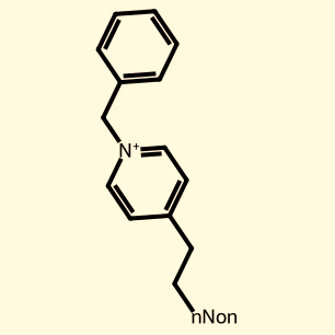 CCCCCCCCCCCc1cc[n+](Cc2ccccc2)cc1